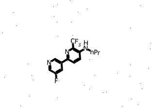 CCCNc1ccc(-c2cncc(F)c2)nc1C(F)(F)F